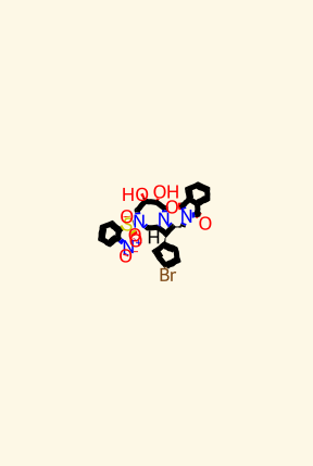 O=C1c2ccccc2C(=O)N1C[C@@H]1[C@H](c2ccc(Br)cc2)[C@@H]2CN(S(=O)(=O)c3ccccc3[N+](=O)[O-])C[C@@H](O)[C@@H](O)CN12